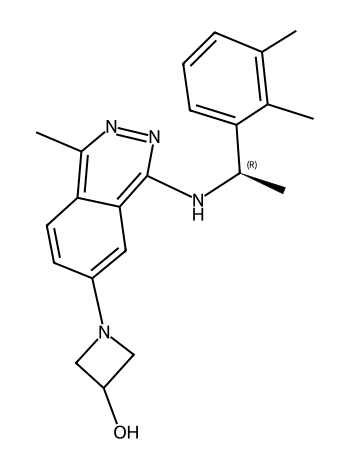 Cc1cccc([C@@H](C)Nc2nnc(C)c3ccc(N4CC(O)C4)cc23)c1C